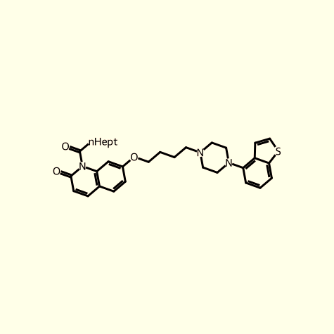 CCCCCCCC(=O)n1c(=O)ccc2ccc(OCCCCN3CCN(c4cccc5sccc45)CC3)cc21